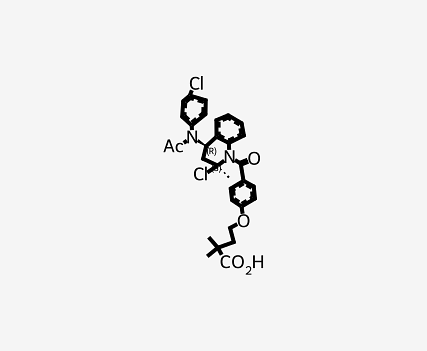 CC(=O)N(c1ccc(Cl)cc1)[C@@H]1C[C@](C)(Cl)N(C(=O)c2ccc(OCCC(C)(C)C(=O)O)cc2)c2ccccc21